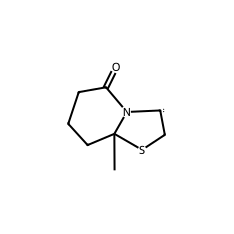 CC12CCCC(=O)N1[C]CS2